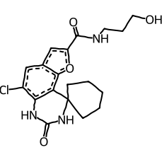 O=C1Nc2c(Cl)cc3cc(C(=O)NCCCO)oc3c2C2(CCCCC2)N1